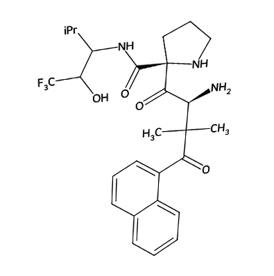 CC(C)C(NC(=O)[C@@]1(C(=O)[C@@H](N)C(C)(C)C(=O)c2cccc3ccccc23)CCCN1)C(O)C(F)(F)F